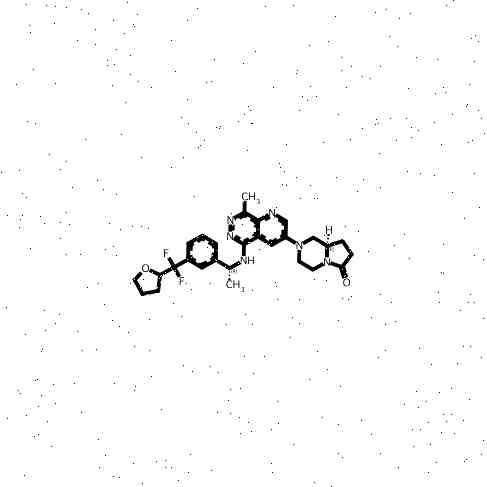 Cc1nnc(N[C@H](C)c2cccc(C(F)(F)C3CCCO3)c2)c2cc(N3CCN4C(=O)CC[C@@H]4C3)cnc12